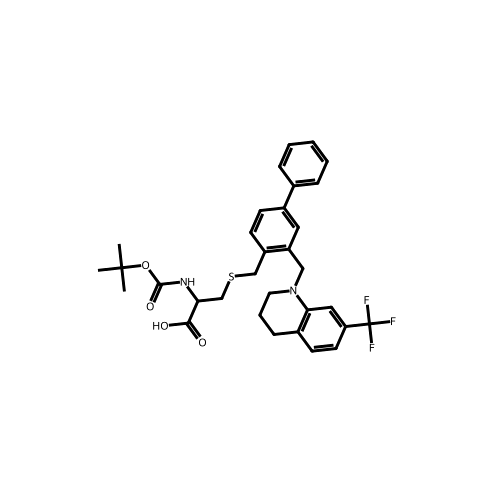 CC(C)(C)OC(=O)NC(CSCc1ccc(-c2ccccc2)cc1CN1CCCc2ccc(C(F)(F)F)cc21)C(=O)O